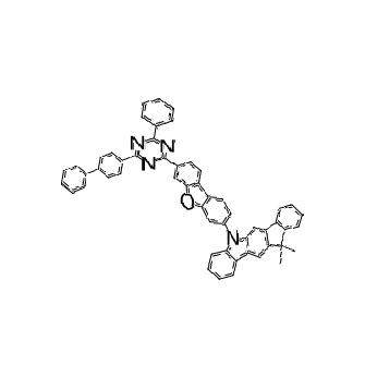 CC1(C)c2ccccc2-c2cc3c(cc21)c1ccccc1n3-c1ccc2c(c1)oc1cc(-c3nc(-c4ccccc4)nc(-c4ccc(-c5ccccc5)cc4)n3)ccc12